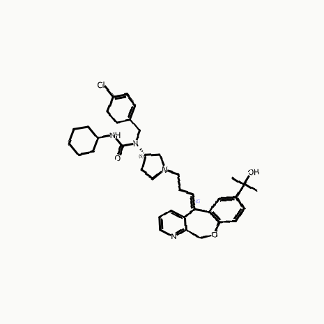 CC(C)(O)c1ccc2c(c1)/C(=C/CCN1CC[C@H](N(CC3=CC=C(Cl)CC3)C(=O)NC3CCCCC3)C1)c1cccnc1CO2